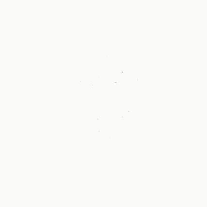 CCC(=O)Nc1cccc(C(F)(F)F)c1COc1ccc(CC)cc1CC